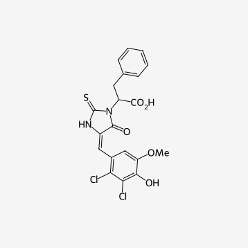 COc1cc(/C=C2/NC(=S)N(C(Cc3ccccc3)C(=O)O)C2=O)c(Cl)c(Cl)c1O